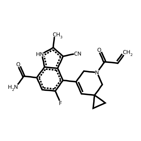 C=CC(=O)N1CC(c2c(F)cc(C(N)=O)c3[nH]c(C)c(C#N)c23)=CC2(CC2)C1